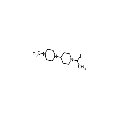 CC(I)N1CCC(N2CCN(C)CC2)CC1